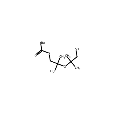 CC(C)(CS)OC(C)(C)CSC(=O)C(C)(C)C